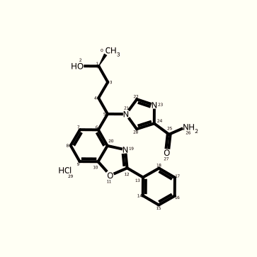 C[C@H](O)CCC(c1cccc2oc(-c3ccccc3)nc12)n1cnc(C(N)=O)c1.Cl